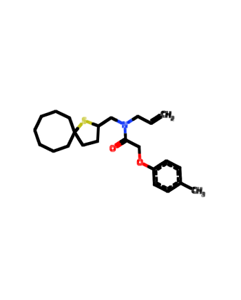 C=CCN(CC1CCC2(CCCCCCC2)S1)C(=O)COc1ccc(C)cc1